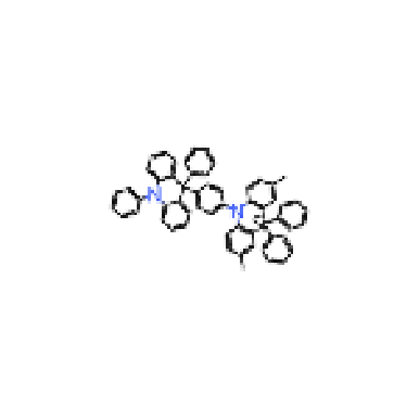 Cc1ccc2c(c1)[Si](c1ccccc1)(c1ccccc1)c1cc(C)ccc1N2c1ccc(C2(c3ccccc3)c3ccccc3N(c3ccccc3)c3ccccc32)cc1